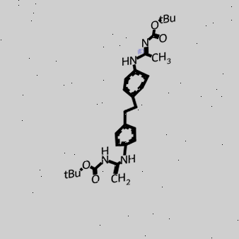 C=C(NC(=O)OC(C)(C)C)Nc1ccc(CCc2ccc(N/C(C)=N/C(=O)OC(C)(C)C)cc2)cc1